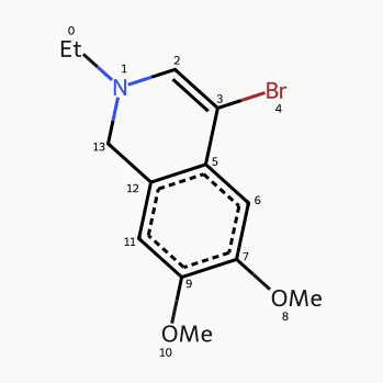 CCN1C=C(Br)c2cc(OC)c(OC)cc2C1